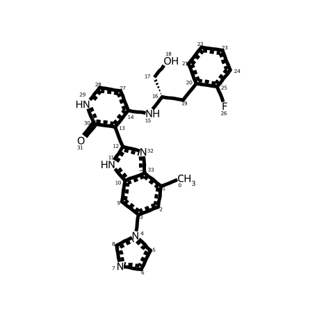 Cc1cc(-n2ccnc2)cc2[nH]c(-c3c(N[C@H](CO)Cc4ccccc4F)cc[nH]c3=O)nc12